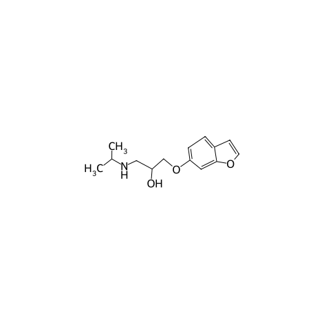 CC(C)NCC(O)COc1ccc2ccoc2c1